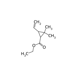 C=CC1C(C(=O)OCC)C1(C)C